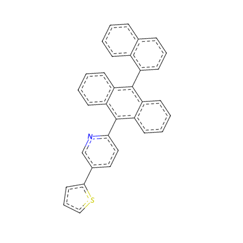 c1csc(-c2ccc(-c3c4ccccc4c(-c4cccc5ccccc45)c4ccccc34)nc2)c1